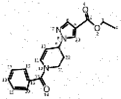 CCOC(=O)c1cnn(C2C=CN(C(=O)c3ccccc3)CC2)c1